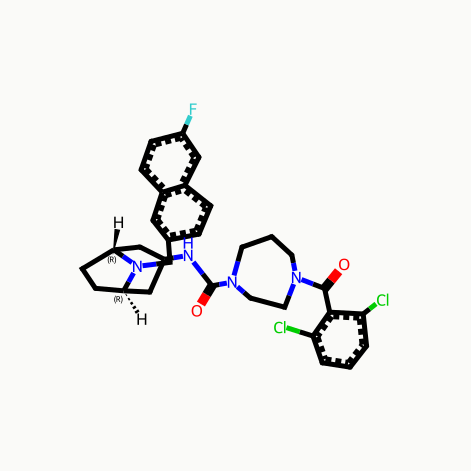 O=C(NC1C[C@H]2CC[C@H](C1)N2Cc1ccc2cc(F)ccc2c1)N1CCCN(C(=O)c2c(Cl)cccc2Cl)CC1